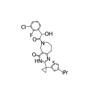 CC(C)c1csc(C2(c3nc4c(c(=O)[nH]3)CN(C(=O)C(O)c3cccc(Cl)c3F)CCC4)CC2)c1